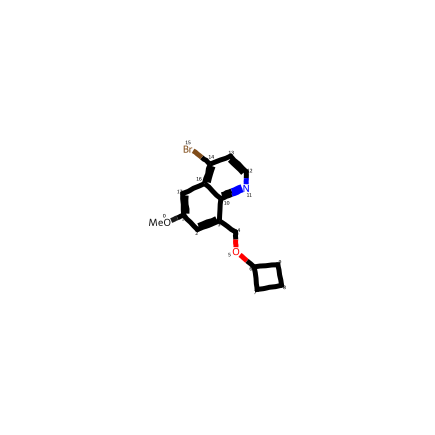 COc1cc(COC2CCC2)c2nccc(Br)c2c1